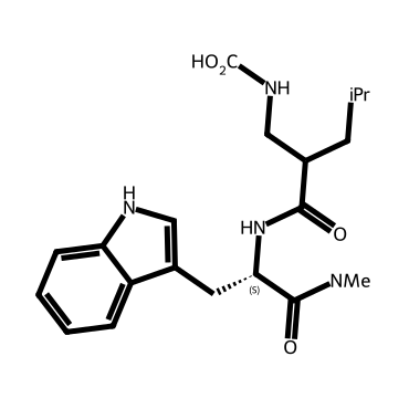 CNC(=O)[C@H](Cc1c[nH]c2ccccc12)NC(=O)C(CNC(=O)O)CC(C)C